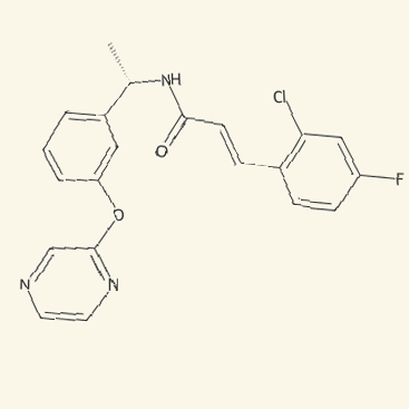 C[C@H](NC(=O)/C=C/c1ccc(F)cc1Cl)c1cccc(Oc2cnccn2)c1